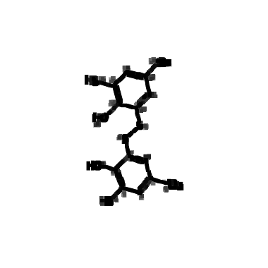 CC(C)(C)c1cc(S)c(O)c(SSc2cc(C(C)(C)C)cc(S)c2O)c1